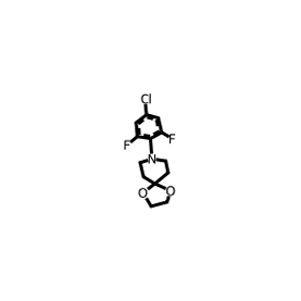 Fc1cc(Cl)cc(F)c1N1CCC2(CC1)OCCO2